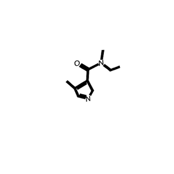 CCN(C)C(=O)C1=C(C)C=NC1